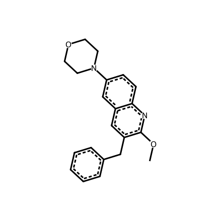 COc1nc2ccc(N3CCOCC3)cc2cc1Cc1ccccc1